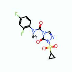 CC(C)N(C(=O)n1cnn(S(=O)(=O)C2CC2)c1=O)c1ccc(F)cc1F